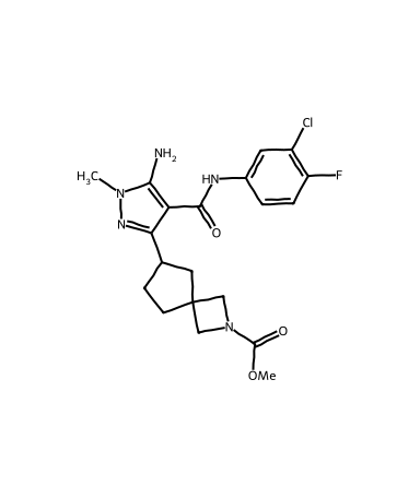 COC(=O)N1CC2(CCC(c3nn(C)c(N)c3C(=O)Nc3ccc(F)c(Cl)c3)C2)C1